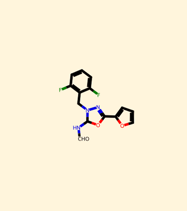 O=CNC1OC(c2ccco2)=NN1Cc1c(F)cccc1F